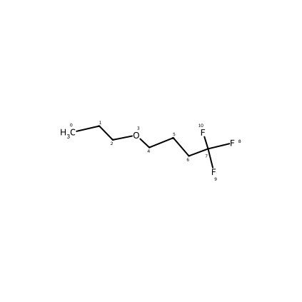 CCCOCCCC(F)(F)F